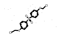 O=S(=O)(c1ccc(SCCl)cc1)c1ccc(SCCl)cc1